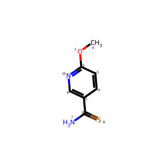 COc1ccc(C(N)=S)cn1